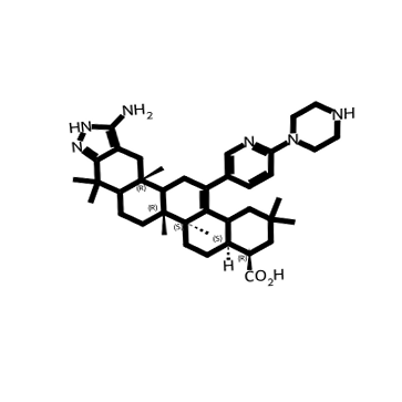 CC1(C)CC2C3=C(c4ccc(N5CCNCC5)nc4)CC4[C@@]5(C)Cc6c(n[nH]c6N)C(C)(C)C5CC[C@@]4(C)[C@]3(C)CC[C@@H]2[C@H](C(=O)O)C1